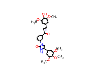 COc1cc(/C=C/C(=O)c2cccc(-n3cc(-c4cc(OC)c(OC)c(OC)c4)[nH]c3=O)c2)cc(OC)c1O